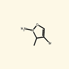 CC1C(Br)=CON1N